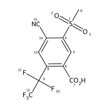 CS(=O)(=O)c1cc(C(=O)O)c(C(F)(F)C(F)(F)F)cc1C#N